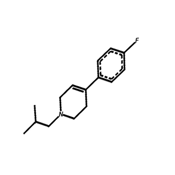 C[C](C)CN1CC=C(c2ccc(F)cc2)CC1